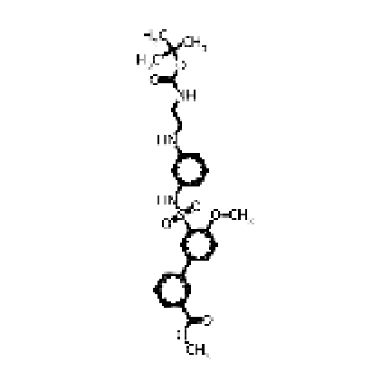 COC(=O)c1cccc(-c2ccc(OC)c(S(=O)(=O)Nc3cccc(NCCNC(=O)OC(C)(C)C)c3)c2)c1